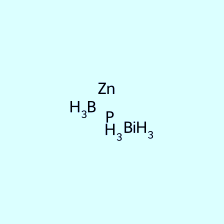 B.P.[BiH3].[Zn]